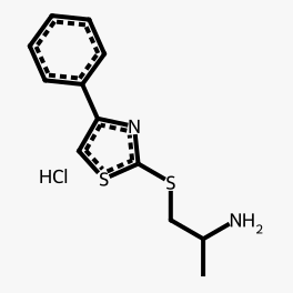 CC(N)CSc1nc(-c2ccccc2)cs1.Cl